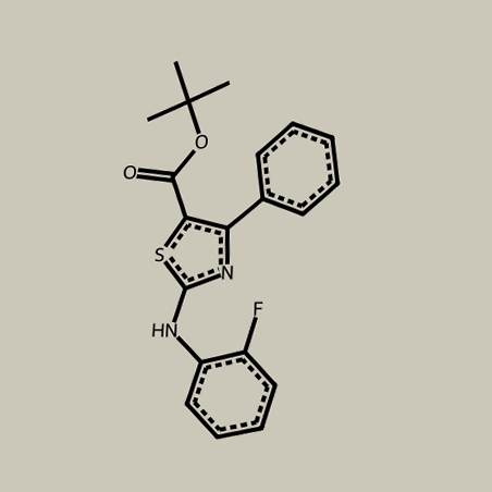 CC(C)(C)OC(=O)c1sc(Nc2ccccc2F)nc1-c1ccccc1